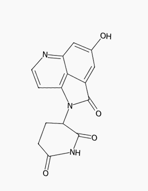 O=C1CCC(N2C(=O)c3cc(O)cc4nccc2c34)C(=O)N1